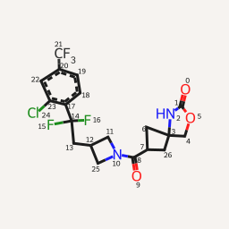 O=C1NC2(CO1)CC(C(=O)N1CC(CC(F)(F)c3ccc(C(F)(F)F)cc3Cl)C1)C2